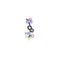 Cc1nc(-c2ccc3c(c2)CC[C@H]3NC(=O)C(F)F)no1